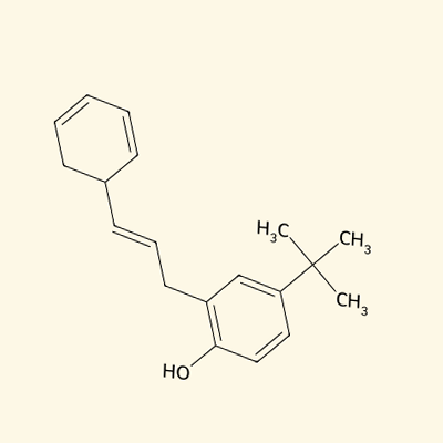 CC(C)(C)c1ccc(O)c(CC=CC2C=CC=CC2)c1